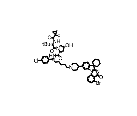 CC(C)(C)[C@H](NC(=O)C1(F)CC1)C(=O)N1C[C@H](O)C[C@H]1C(=O)N[C@@H](CCCCCN1CCC(c2ccc3c(c2)-n2c(nc(=O)c4c(Br)cccc42)C32CCCCC2)CC1)c1ccc(Cl)cc1